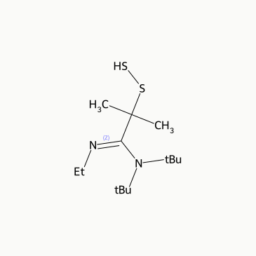 CC/N=C(\N(C(C)(C)C)C(C)(C)C)C(C)(C)SS